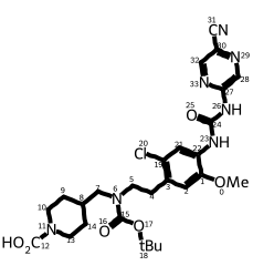 COc1cc(CCN(CC2CCN(C(=O)O)CC2)C(=O)OC(C)(C)C)c(Cl)cc1NC(=O)Nc1cnc(C#N)cn1